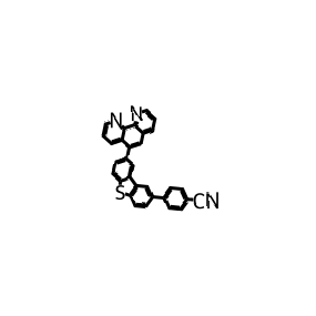 N#Cc1ccc(-c2ccc3sc4ccc(-c5cc6cccnc6c6ncccc56)cc4c3c2)cc1